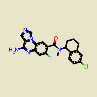 CN(C(=O)c1cc2c(cc1F)nc(N)c1cncn12)C1CCCc2cc(Cl)ccc21